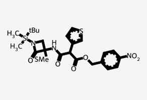 CSC1(NC(=O)C(C(=O)OCc2ccc([N+](=O)[O-])cc2)c2ccsc2)CN([Si](C)(C)C(C)(C)C)C1=O